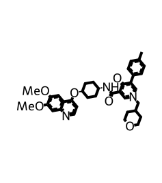 COc1cc2nccc(O[C@H]3CC[C@@H](NC(=O)c4cn(CC5CCOCC5)cc(-c5ccc(C)cc5)c4=O)CC3)c2cc1OC